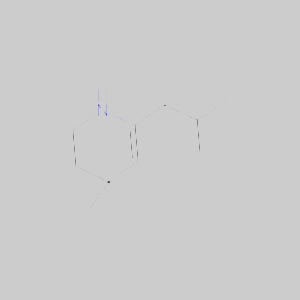 CC(C)CC1=CC(C)(C)CCN1